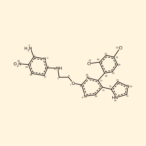 Nc1nc(NCCOc2ncc(-c3cnc[nH]3)c(-c3ccc(Cl)cc3Cl)n2)ccc1[N+](=O)[O-]